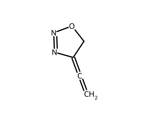 C=C=C1CON=N1